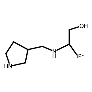 CC(C)C(CO)NCC1CCNC1